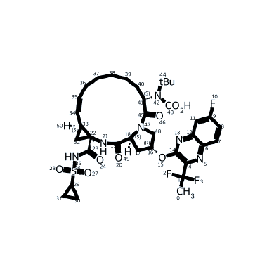 CC(F)(F)c1nc2ccc(F)cc2nc1O[C@@H]1C[C@H]2C(=O)N[C@]3(C(=O)NS(=O)(=O)C4CC4)C[C@H]3C=CCCCCC[C@H](N(C(=O)O)C(C)(C)C)C(=O)N2C1